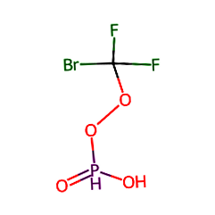 O=[PH](O)OOC(F)(F)Br